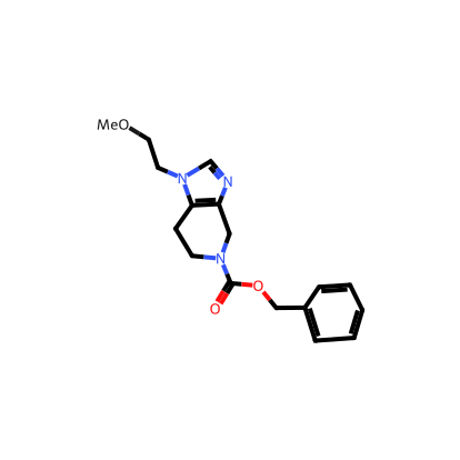 COCCn1cnc2c1CCN(C(=O)OCc1ccccc1)C2